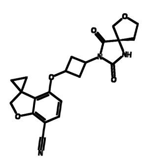 N#Cc1ccc(OC2CC(N3C(=O)N[C@]4(CCOC4)C3=O)C2)c2c1OCC21CC1